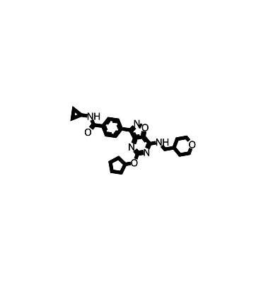 O=C(NC1CC1)c1ccc(-c2noc3c(NCC4CCOCC4)nc(OC4CCCC4)nc23)cc1